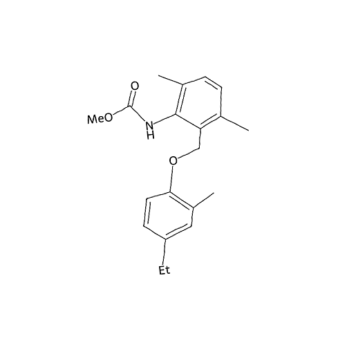 CCc1ccc(OCc2c(C)ccc(C)c2NC(=O)OC)c(C)c1